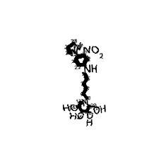 O=[N+]([O-])c1cc(NCCCCCCN2C[C@H](O)[C@@H](O)[C@H](O)[C@H]2CO)ccc1-n1cccn1